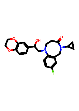 O=C1CCN(CC(O)c2ccc3c(c2)OCCO3)c2ccc(F)cc2CN1C1CC1